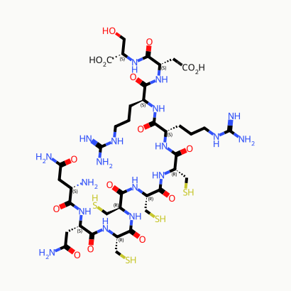 N=C(N)NCCC[C@H](NC(=O)[C@H](CCCNC(=N)N)NC(=O)[C@H](CS)NC(=O)[C@H](CS)NC(=O)[C@H](CS)NC(=O)[C@H](CS)NC(=O)[C@H](CC(N)=O)NC(=O)[C@@H](N)CC(N)=O)C(=O)N[C@@H](CC(=O)O)C(=O)N[C@@H](CO)C(=O)O